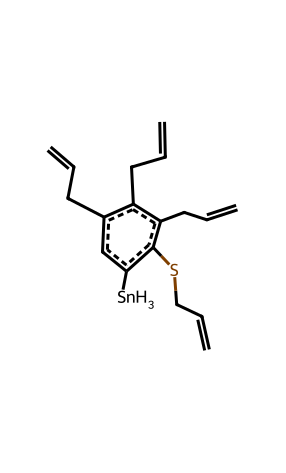 C=CCSc1[c]([SnH3])cc(CC=C)c(CC=C)c1CC=C